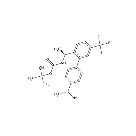 C[C@H](NC(=O)OC(C)(C)C)c1ccc(C(F)(F)F)cc1-c1ccc([C@@H](C)N)cc1